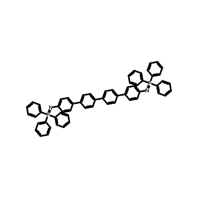 c1ccc(P(=Nc2ccc(-c3ccc(-c4ccc(-c5ccc(N=P(c6ccccc6)(c6ccccc6)c6ccccc6)cc5)cc4)cc3)cc2)(c2ccccc2)c2ccccc2)cc1